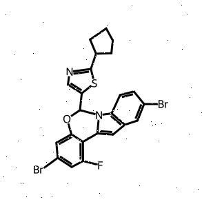 Fc1cc(Br)cc2c1-c1cc3cc(Br)ccc3n1C(c1cnc(C3CCCC3)s1)O2